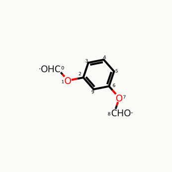 O=[C]Oc1cccc(O[C]=O)c1